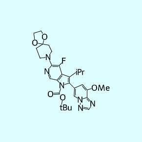 COc1cc(-c2c(C(C)C)c3c(F)c(N4CCC5(CC4)OCCO5)ncc3n2C(=O)OC(C)(C)C)cn2ncnc12